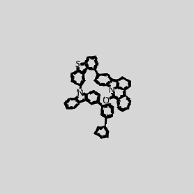 O=c1c2ccccc2c2cccc3c4cc(-c5cccc6sc7ccc(-n8c9ccccc9c9cc(-c%10cccc(-c%11ccccc%11)c%10)ccc98)cc7c56)ccc4n1c23